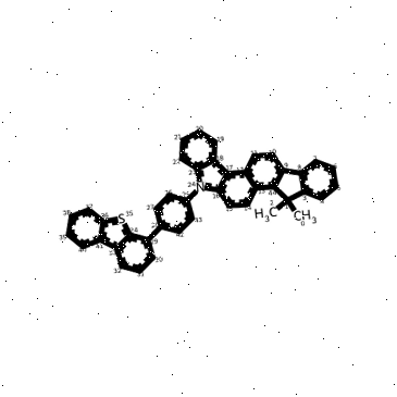 CC1(C)c2ccccc2-c2ccc3c(ccc4c3c3ccccc3n4-c3ccc(-c4cccc5c4sc4ccccc45)cc3)c21